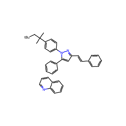 CC(C)(C)CC(C)(C)c1ccc(-n2nc(C=Cc3ccccc3)cc2-c2ccccc2)cc1.c1ccc2ncccc2c1